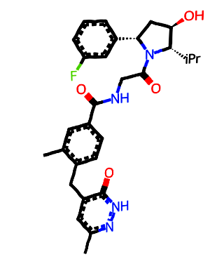 Cc1cc(Cc2ccc(C(=O)NCC(=O)N3[C@H](c4cccc(F)c4)C[C@@H](O)[C@@H]3C(C)C)cc2C)c(=O)[nH]n1